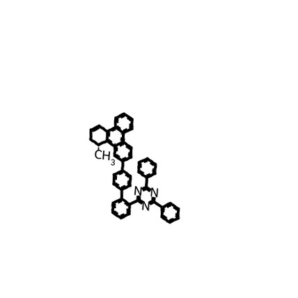 C[C@@H]1CC=Cc2c1c1cc(-c3ccc(-c4ccccc4-c4nc(-c5ccccc5)nc(-c5ccccc5)n4)cc3)ccc1c1ccccc21